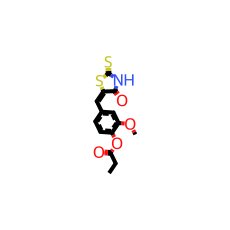 CCC(=O)Oc1ccc(C=C2SC(=S)NC2=O)cc1OC